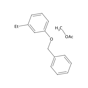 CCc1cccc(OCc2ccccc2)c1.COC(C)=O